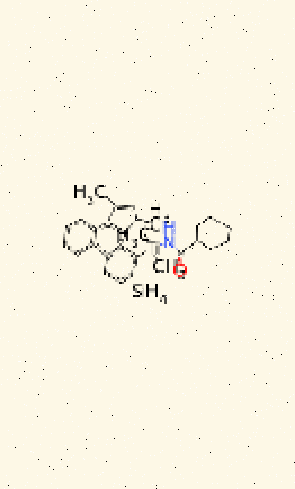 CC1=CC(C)c2c1c1ccccc1c1ccc[c]([Ti]([CH3])([CH3])[NH]C(=O)C3CCCCC3)c21.[SiH4]